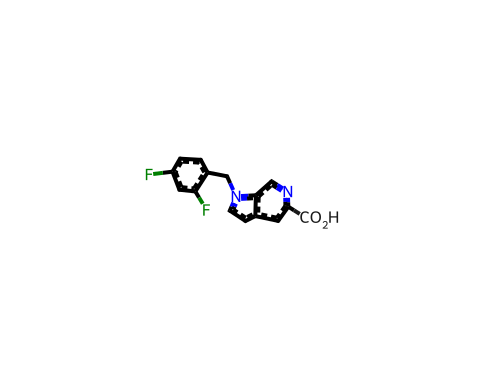 O=C(O)c1cc2ccn(Cc3ccc(F)cc3F)c2cn1